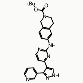 CC(C)(C)OC(=O)N1CCc2cc(Nc3nccc(-c4c[nH]nc4-c4cccnc4)n3)ccc2C1